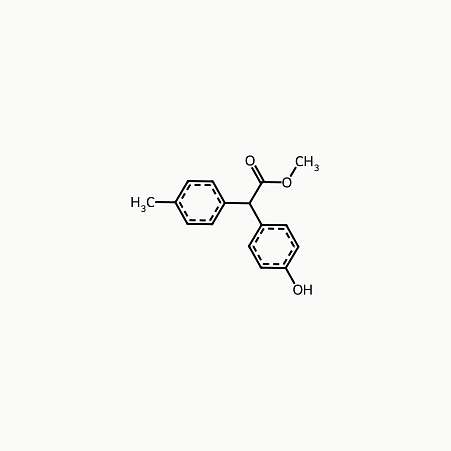 COC(=O)C(c1ccc(C)cc1)c1ccc(O)cc1